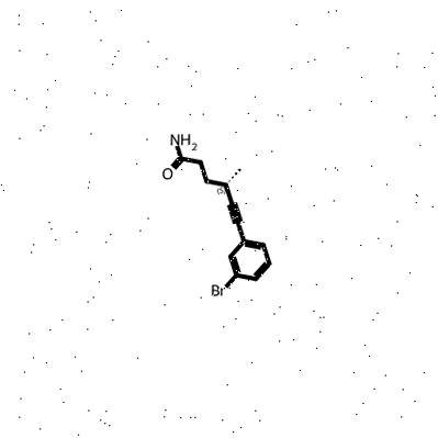 C[C@H](C#Cc1cccc(Br)c1)CCC(N)=O